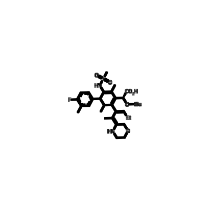 CC/C=C(C1=C([C@H](OC(C)(C)C)C(=O)O)C(C)=C(NS(C)(=O)=O)C(c2ccc(F)c(C)c2)C1C)\C(C)=C1/COCCN1